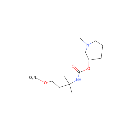 CN1CCCC(OC(=O)NC(C)(C)CCO[N+](=O)[O-])C1